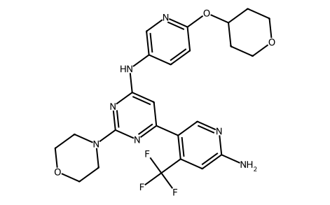 Nc1cc(C(F)(F)F)c(-c2cc(Nc3ccc(OC4CCOCC4)nc3)nc(N3CCOCC3)n2)cn1